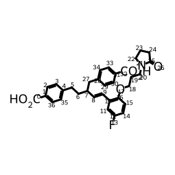 O=C(O)c1ccc(CCC(C=Cc2cc(F)ccc2OCCCN2CCCC2=O)Cc2ccc(C(=O)O)cc2)cc1